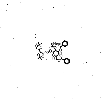 CCCCCCCC(=O)O[C@@H]1[C@H](OOC[C@@H]2OC(C)(C)O[C@@H]2[C@H]2COC(C)(C)O2)O[C@@H]2COC(c3ccccc3)O[C@H]2[C@@H]1OCc1ccccc1